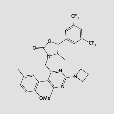 COc1ccc(C)cc1-c1c(C)nc(N2CCC2)nc1CN1C(=O)OC(c2cc(C(F)(F)F)cc(C(F)(F)F)c2)C1C